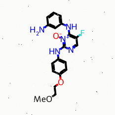 COCCOc1ccc(Nc2ncc(F)c(Nc3cccc(N)c3)[n+]2[O-])cc1